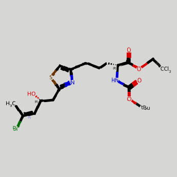 C/C(Br)=C\[C@H](O)Cc1nc(CCC[C@@H](NC(=O)OC(C)(C)C)C(=O)OCC(Cl)(Cl)Cl)cs1